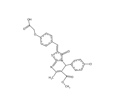 COC(=O)C1=C(C)N=c2s/c(=C\c3ccc(OCC(=O)O)cc3)c(=O)n2C1c1ccc(Cl)cc1